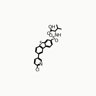 CC(C)[C@H](NS(=O)(=O)c1ccc2c(c1)sc1ccc(-c3ccc(Cl)nc3)cc12)C(=O)O